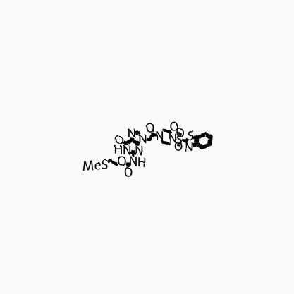 CSCCOC(=O)Nc1nc2c(ncn2CC(=O)N2CCN(S(=O)(=O)c3nc4ccccc4s3)C(=O)C2)c(=O)[nH]1